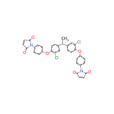 CC(c1ccc(Oc2ccc(N3C(=O)C=CC3=O)cc2)c(Cl)c1)c1ccc(Oc2ccc(N3C(=O)C=CC3=O)cc2)c(Cl)c1